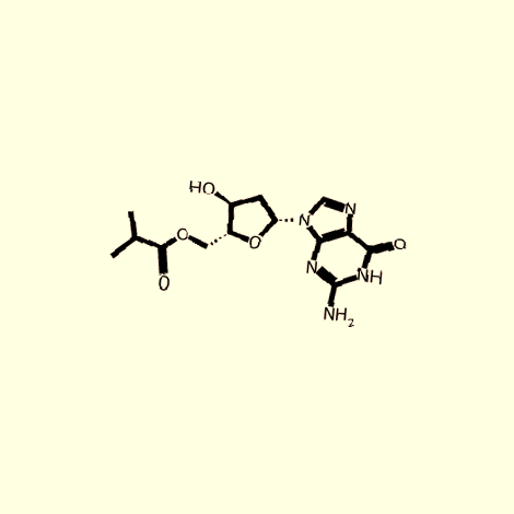 CC(C)C(=O)OC[C@H]1O[C@@H](n2cnc3c(=O)[nH]c(N)nc32)C[C@@H]1O